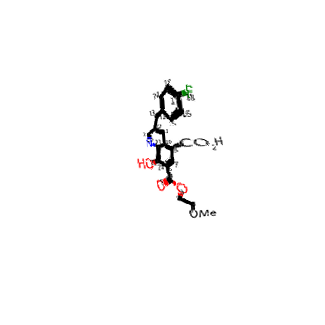 COCCOC(=O)c1cc(C(=O)O)c2cc(Cc3ccc(F)cc3)cnc2c1O